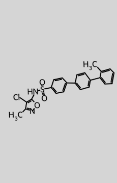 Cc1ccccc1-c1ccc(-c2ccc(S(=O)(=O)Nc3onc(C)c3Cl)cc2)cc1